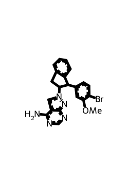 COc1cc(C2c3ccccc3CC2n2cc3c(N)ncnc3n2)ccc1Br